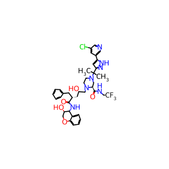 CC(C)(c1cc(-c2cncc(Cl)c2)[nH]n1)N1CCN(C[C@@H](O)C[C@@H](Cc2ccccc2)C(=O)N[C@H]2c3ccccc3OC[C@H]2O)[C@H](C(=O)NCC(F)(F)F)C1